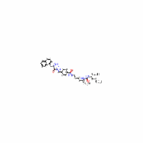 NC(Cc1cccc2ccccc12)C(=O)NCC1CCC(C(=O)NCCCC[C@H](NC(=O)N[C@@H](CCC(=O)O)C(=O)O)C(=O)O)CC1